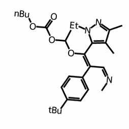 CCCCOC(=O)OC(C)O/C(=C(/C=N\C)c1ccc(C(C)(C)C)cc1)c1c(C)c(C)nn1CC